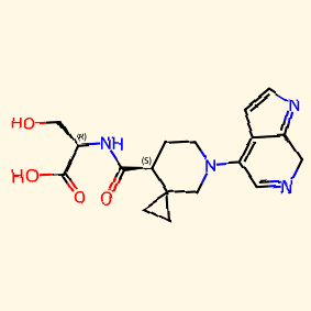 O=C(N[C@H](CO)C(=O)O)[C@H]1CCN(C2=C3C=CN=C3CN=C2)CC12CC2